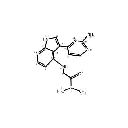 CN(C)C(=O)CNc1ccnc2[nH]cc(-c3ccnc(N)n3)c12